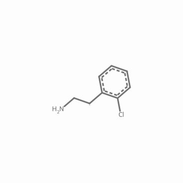 NC[CH]c1ccccc1Cl